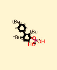 CC(C)(C)c1ccc(-c2c(C(C)(C)C)ccc(OP(O)O)c2C(C)(C)C)cc1